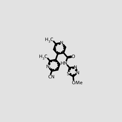 COc1nnc(NC(=O)c2cnc(C)cc2-c2ccc(C#N)nc2C)s1